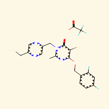 CNCc1cnc(Cn2c(C)nc(OCc3ccc(F)cc3F)c(Br)c2=O)cn1.O=C(O)C(F)(F)F